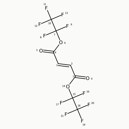 O=C(C=CC(=O)OC(F)(F)C(F)(F)F)OC(F)(F)C(F)(F)F